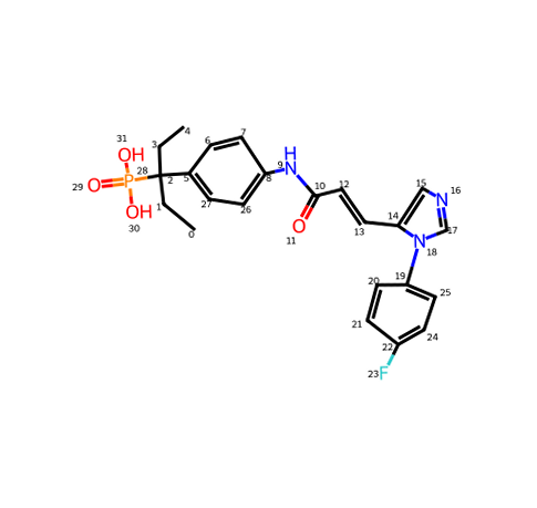 CCC(CC)(c1ccc(NC(=O)C=Cc2cncn2-c2ccc(F)cc2)cc1)P(=O)(O)O